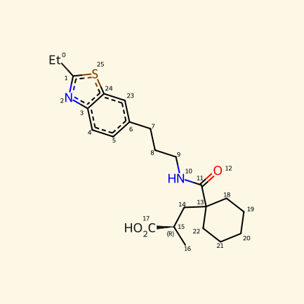 CCc1nc2ccc(CCCNC(=O)C3(C[C@@H](C)C(=O)O)CCCCC3)cc2s1